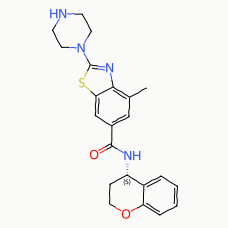 Cc1cc(C(=O)N[C@H]2CCOc3ccccc32)cc2sc(N3CCNCC3)nc12